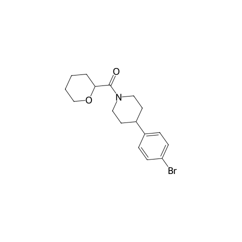 O=C(C1CCCCO1)N1CCC(c2ccc(Br)cc2)CC1